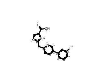 O=C(O)c1coc(Cc2ccc(-c3cccc(F)c3)cn2)n1